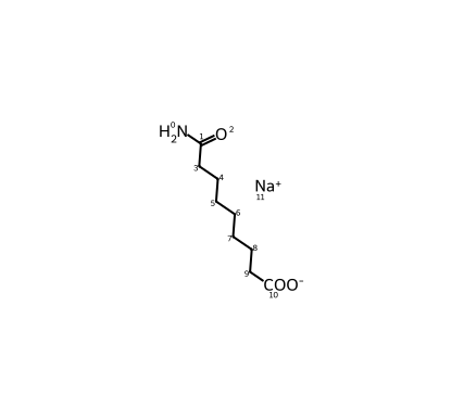 NC(=O)CCCCCCCC(=O)[O-].[Na+]